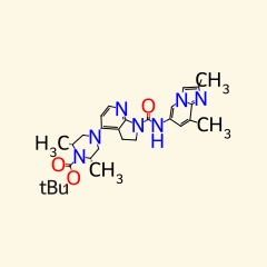 Cc1cn2cc(NC(=O)N3CCc4c(N5C[C@@H](C)N(C(=O)OC(C)(C)C)[C@@H](C)C5)ccnc43)cc(C)c2n1